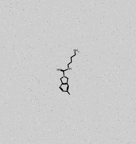 Cc1ccc2c(c1)CN(C(=N)NCCCCN)C2